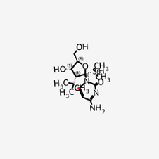 C[SiH](C)[C@@]1(n2ccc(N)nc2=O)O[C@H](CO)[C@@H](O)[C@H]1C(C)(C)C